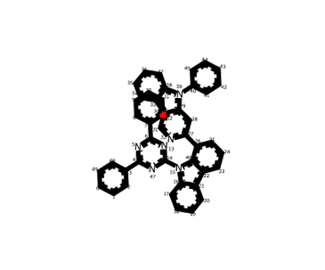 c1ccc(-c2nc(-c3ccccc3)nc(-n3c4ccccc4c4cccc(-c5cc6c(cn5)c5ccccc5n6-c5ccccc5)c43)n2)cc1